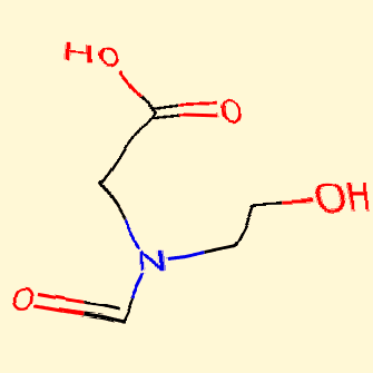 O=CN(CCO)CC(=O)O